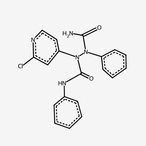 NC(=O)N(c1ccccc1)N(C(=O)Nc1ccccc1)c1ccnc(Cl)c1